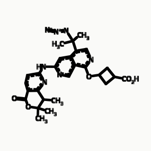 CC1c2nc(Nc3cc4c(C(C)(C)N=[N+]=[N-])cnc(OC5CC(C(=O)O)C5)c4cn3)ccc2C(=O)OC1(C)C